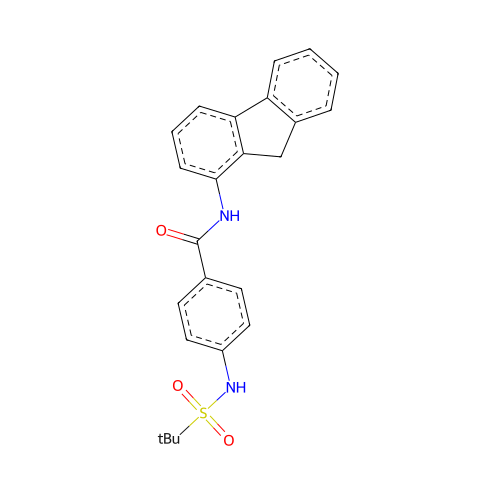 CC(C)(C)S(=O)(=O)Nc1ccc(C(=O)Nc2cccc3c2Cc2ccccc2-3)cc1